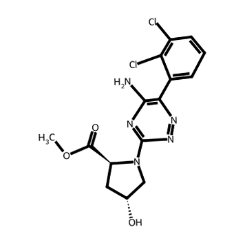 COC(=O)[C@@H]1C[C@@H](O)CN1c1nnc(-c2cccc(Cl)c2Cl)c(N)n1